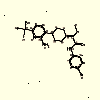 CCC(C(=O)Nc1ccc(Br)cc1)=C1CCC(c2ccc(C(F)(F)F)nc2N)CC1